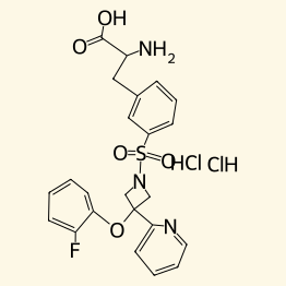 Cl.Cl.NC(Cc1cccc(S(=O)(=O)N2CC(Oc3ccccc3F)(c3ccccn3)C2)c1)C(=O)O